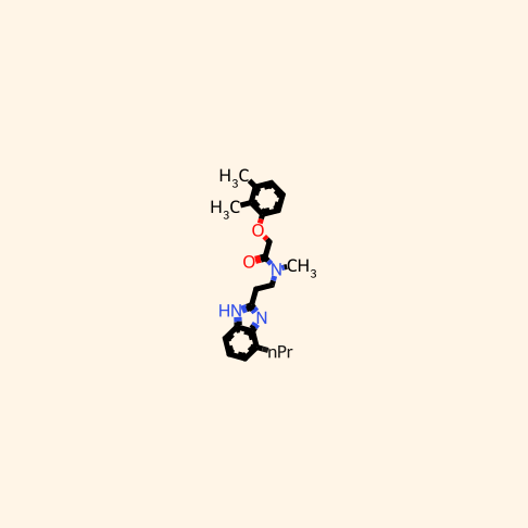 CCCc1cccc2[nH]c(CCN(C)C(=O)COc3cccc(C)c3C)nc12